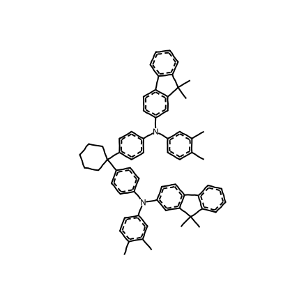 Cc1ccc(N(c2ccc(C3(c4ccc(N(c5ccc(C)c(C)c5)c5ccc6c(c5)C(C)(C)c5ccccc5-6)cc4)CCCCC3)cc2)c2ccc3c(c2)C(C)(C)c2ccccc2-3)cc1C